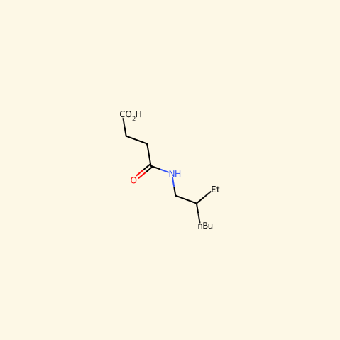 CCCCC(CC)CNC(=O)CCC(=O)O